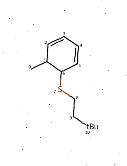 CC1C=CC=CC1SCCC(C)(C)C